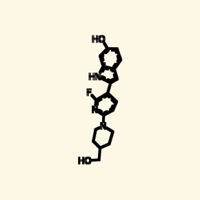 OCC1CCN(c2ccc(-c3cc4ccc(O)cc4[nH]3)c(F)n2)CC1